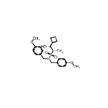 COc1ccc(CN(Cc2ccc(OC)cc2)S(=O)(=O)[C@@H](C)[C@H](O)C2CCC2)cc1